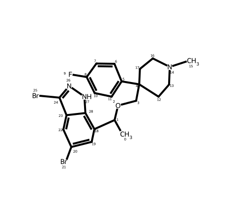 CC(OCC1(c2ccc(F)cc2)CCN(C)CC1)c1cc(Br)cc2c(Br)n[nH]c12